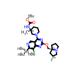 CCC[CH2][Sn]([CH2]CCC)([CH2]CCC)[c]1ncc2c(N3CCC[C@@](C)(NC(=O)OC(C)(C)C)C3)nc(OC[C@@]34CCCN3C[C@H](F)C4)nc2c1F